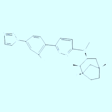 CN(c1ccc(-c2ccc(-n3ccnn3)cc2O)nn1)[C@H]1C[C@@H]2CC[C@@H](C2)[C@H]1F